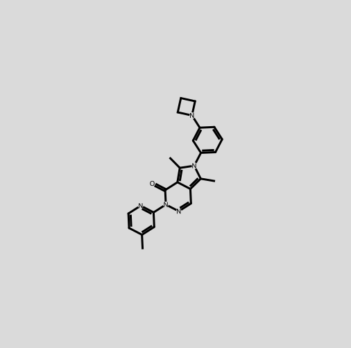 Cc1ccnc(-n2ncc3c(C)n(-c4cccc(N5CCC5)c4)c(C)c3c2=O)c1